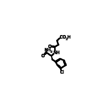 NC(=O)[C@H](Cc1cccc(Cl)c1)NC(=O)CCC(=O)O